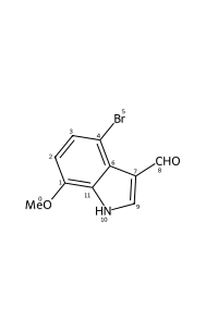 COc1ccc(Br)c2c(C=O)c[nH]c12